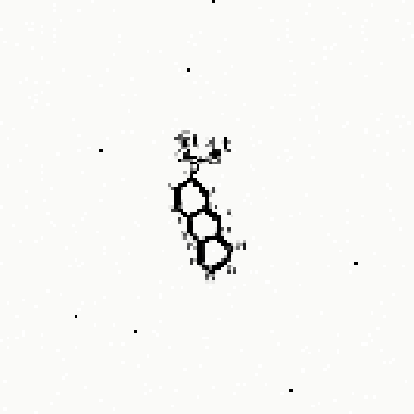 CCOB(OCC)c1ccc2cc3ccccc3cc2c1